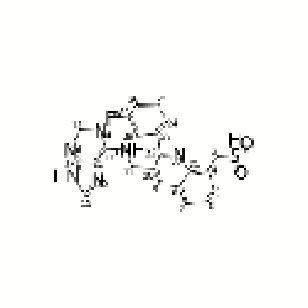 O=[SH](=O)Cc1cccc2cc(CNc3ncnc4[nH]cnc34)c(-c3cccc(F)c3)nc12